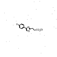 CCOC(=O)CCc1nc(-c2ccc(F)cc2)cs1